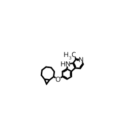 Cc1nccc2c1[nH]c1cc(OC3CCCCCC4CC43)ccc12